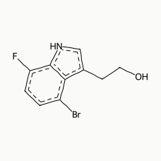 OCCc1c[nH]c2c(F)ccc(Br)c12